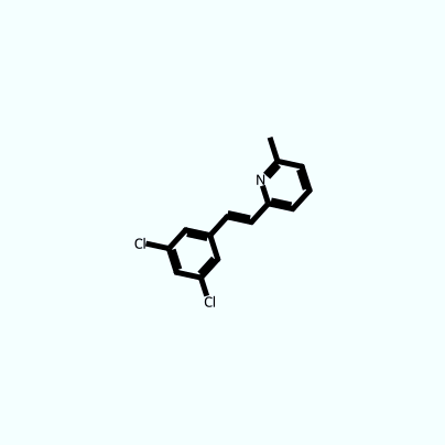 Cc1cccc(C=Cc2cc(Cl)cc(Cl)c2)n1